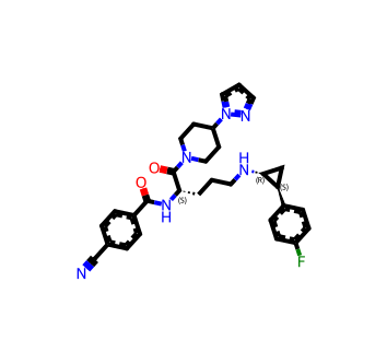 N#Cc1ccc(C(=O)N[C@@H](CCCN[C@@H]2C[C@H]2c2ccc(F)cc2)C(=O)N2CCC(n3cccn3)CC2)cc1